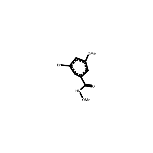 CONC(=O)c1cc(Br)cc(OC)c1